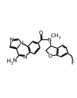 CN(C(=O)c1ccc2nc(N)c3cncn3c2c1)[C@@H]1COc2cc(CF)ccc21